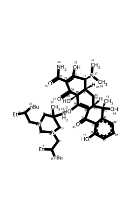 CCCCC(CC)CN1CN(CC(CC)CCCC)CC(C)(N)C1.CN(C)[C@@H]1C(O)=C(C(N)=O)C(=O)[C@@]2(O)C(O)=C3C(=O)c4c(O)cccc4[C@@](C)(O)[C@H]3C[C@@H]12